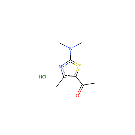 CC(=O)c1sc(N(C)C)nc1C.Cl